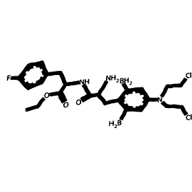 Bc1cc(N(CCCl)CCCl)cc(B)c1CC(N)C(=O)NC(Cc1ccc(F)cc1)C(=O)OCC